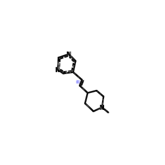 CN1CCC(/C=C/c2cncnc2)CC1